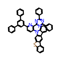 c1ccc(-c2cc(-c3ccccc3)cc(-c3ccc(-n4c5ccccc5c5cc6c(cc54)sc4ccccc46)c(-c4nc(-c5ccccc5)nc(-c5ccccc5)n4)n3)c2)cc1